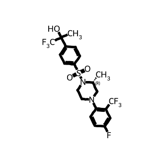 C[C@@H]1CN(c2ccc(F)cc2C(F)(F)F)CCN1S(=O)(=O)c1ccc(C(C)(O)C(F)(F)F)cc1